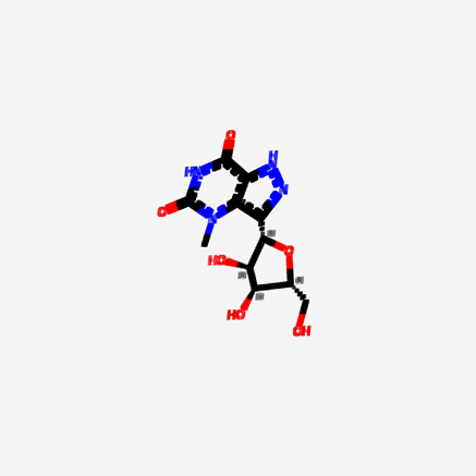 Cn1c(=O)[nH]c(=O)c2[nH]nc([C@@H]3O[C@H](CO)[C@@H](O)[C@H]3O)c21